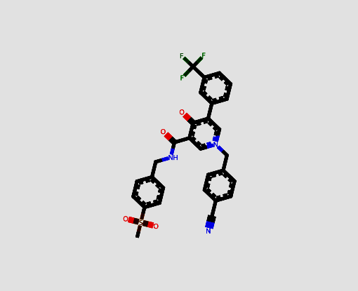 CS(=O)(=O)c1ccc(CNC(=O)c2cn(Cc3ccc(C#N)cc3)cc(-c3cccc(C(F)(F)F)c3)c2=O)cc1